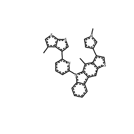 Cc1csc2scc(-c3cccc(-n4c5ccccc5c5cc6scc(-c7ccn(C)c7)c6c(C)c54)n3)c12